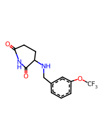 O=C1CCC(NCc2cccc(OC(F)(F)F)c2)C(=O)N1